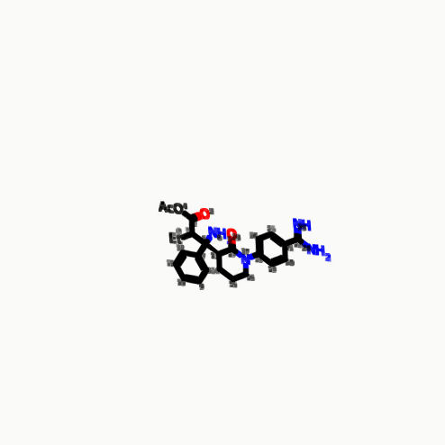 CCC(C(=O)OC(C)=O)C(N)(c1ccccc1)[C@@H]1CCCN(c2ccc(C(=N)N)cc2)C1=O